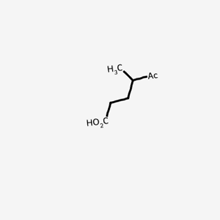 CC(=O)C(C)CCC(=O)O